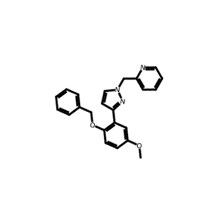 COc1ccc(OCc2ccccc2)c(-c2ccn(Cc3ccccn3)n2)c1